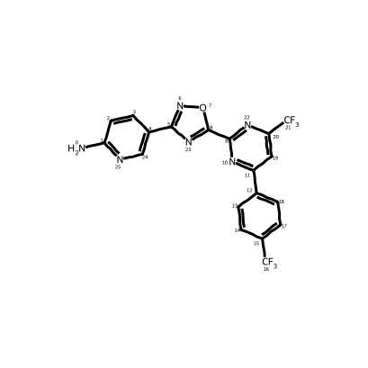 Nc1ccc(-c2noc(-c3nc(-c4ccc(C(F)(F)F)cc4)cc(C(F)(F)F)n3)n2)cn1